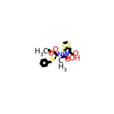 CCOC(=O)[C@H](CSCc1ccccc1)N[C@@H](C)C(=O)N1CC2(CC1C(=O)O)SCCS2